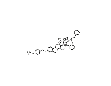 CC(C(=O)O)(C1=c2ccc3c(c2CCC1)CC=c1cc(CCc2ccc(CN)cc2)ccc1=3)C1Nc2ccccc2CN(C=Cc2ccccc2)C1=O